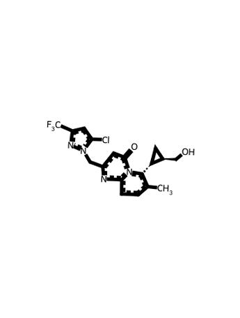 Cc1ccc2nc(Cn3nc(C(F)(F)F)cc3Cl)cc(=O)n2c1[C@@H]1C[C@H]1CO